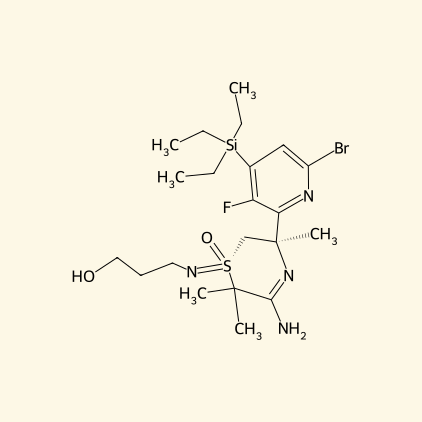 CC[Si](CC)(CC)c1cc(Br)nc([C@]2(C)C[S@@](=O)(=NCCCO)C(C)(C)C(N)=N2)c1F